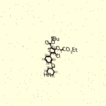 CCOC(=O)COc1c(C(=O)OC(C)(C)C)sc(-c2cccc(OC3CCNCC3)c2)c1Cl